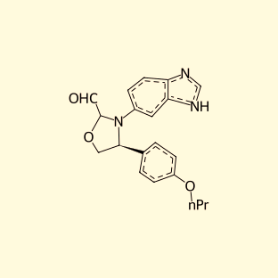 CCCOc1ccc([C@H]2COC(C=O)N2c2ccc3nc[nH]c3c2)cc1